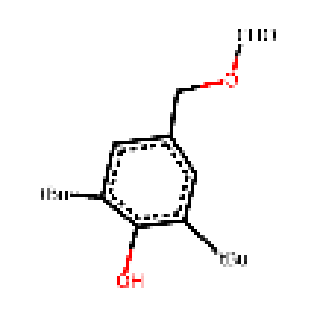 CC(C)(C)c1cc(COC=O)cc(C(C)(C)C)c1O